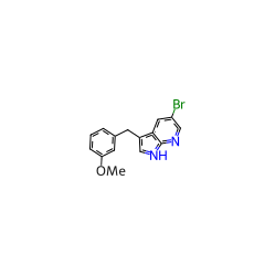 COc1cccc(Cc2c[nH]c3ncc(Br)cc23)c1